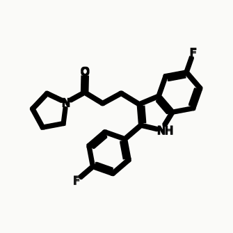 O=C(CCc1c(-c2ccc(F)cc2)[nH]c2ccc(F)cc12)N1CCCC1